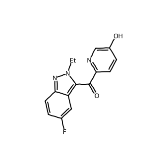 CCn1nc2ccc(F)cc2c1C(=O)c1ccc(O)cn1